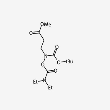 CCN(CC)C(=O)ON(CCC(=O)OC)C(=O)OC(C)(C)C